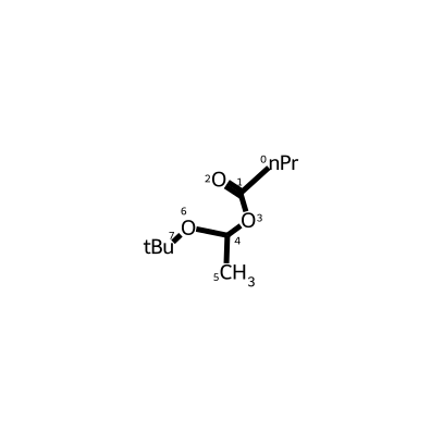 CCCC(=O)OC(C)OC(C)(C)C